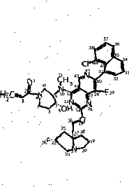 C=CC(=O)N1CC[C@@H](O)[C@H](N(C)c2nc(OC[C@@]34CCCN3C[C@H](F)C4)nc3c(F)c(-c4cccc5cccc(Cl)c45)ncc23)C1